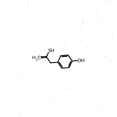 C=C(S)Cc1ccc(O)cc1